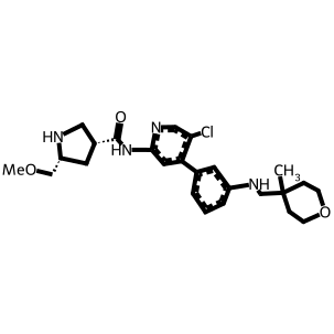 COC[C@H]1C[C@@H](C(=O)Nc2cc(-c3cccc(NCC4(C)CCOCC4)c3)c(Cl)cn2)CN1